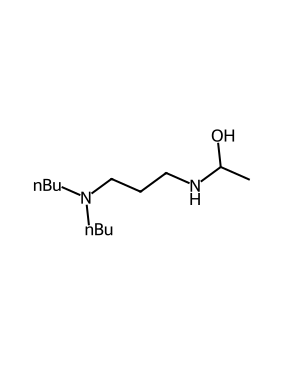 CCCCN(CCCC)CCCNC(C)O